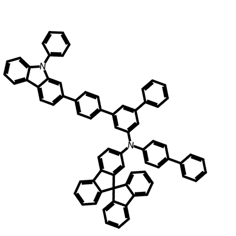 c1ccc(-c2ccc(N(c3cc(-c4ccccc4)cc(-c4ccc(-c5ccc6c7ccccc7n(-c7ccccc7)c6c5)cc4)c3)c3ccc4c(c3)C3(c5ccccc5-c5ccccc53)c3ccccc3-4)cc2)cc1